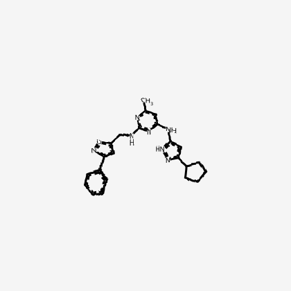 Cc1cc(Nc2cc(C3CCCC3)n[nH]2)nc(NCc2cc(-c3ccccc3)no2)n1